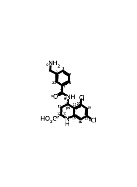 NCc1cccc(C(=O)N[C@@H]2C[C@@H](C(=O)O)Nc3cc(Cl)cc(Cl)c32)c1